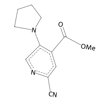 COC(=O)c1cc(C#N)ncc1N1CCCC1